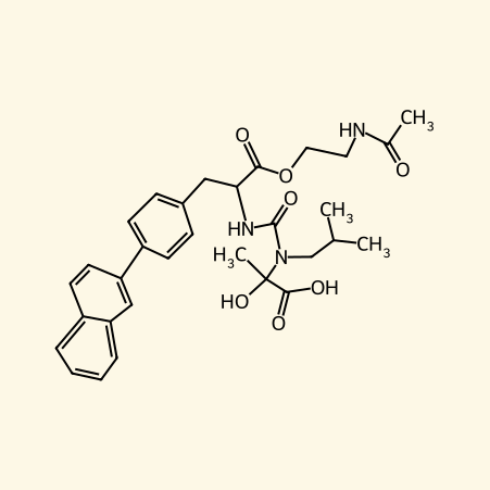 CC(=O)NCCOC(=O)C(Cc1ccc(-c2ccc3ccccc3c2)cc1)NC(=O)N(CC(C)C)C(C)(O)C(=O)O